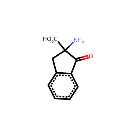 NC1(C(=O)O)Cc2ccccc2C1=O